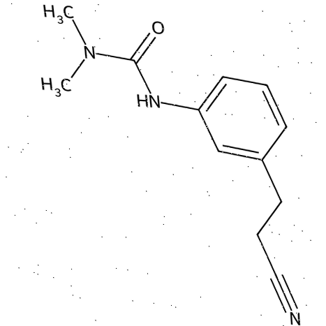 CN(C)C(=O)Nc1cccc(CCC#N)c1